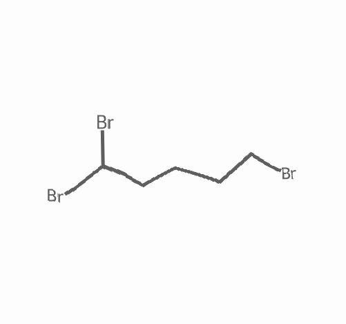 BrCCCCC(Br)Br